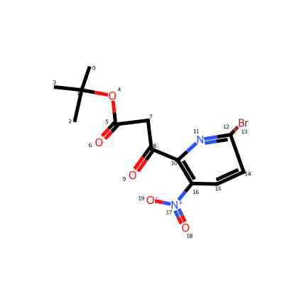 CC(C)(C)OC(=O)CC(=O)c1nc(Br)ccc1[N+](=O)[O-]